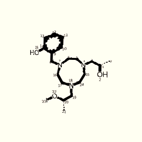 C[C@H](O)CN1CCN(Cc2ccccc2O)CCN(C[C@H](C)OI)CC1